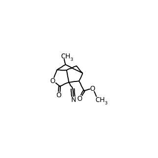 COC(=O)C1C2CC3C(OC(=O)C31C#N)C2C